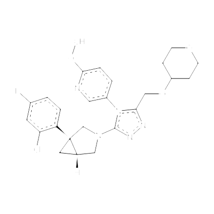 COc1ccc(-n2c(COC3CCOCC3)nnc2N2C[C@@H]3C[C@]3(c3ccc(F)cc3Cl)C2)cn1